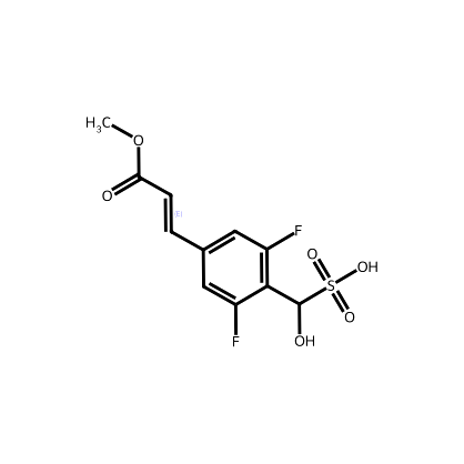 COC(=O)/C=C/c1cc(F)c(C(O)S(=O)(=O)O)c(F)c1